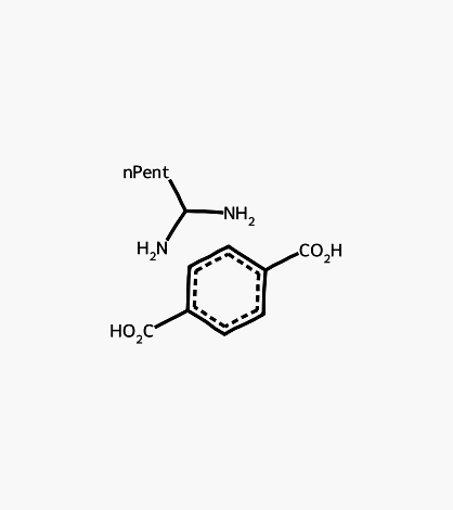 CCCCCC(N)N.O=C(O)c1ccc(C(=O)O)cc1